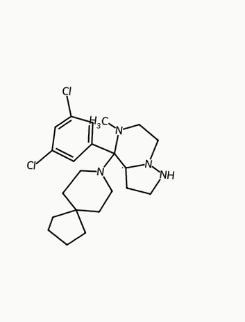 CN1CCN2NCC[C]2C1(c1cc(Cl)cc(Cl)c1)N1CCC2(CCCC2)CC1